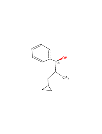 CC(CC1CC1)[C@H](O)c1ccccc1